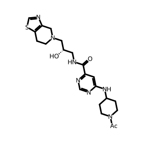 CC(=O)N1CCC(Nc2cc(C(=O)NC[C@H](O)CN3CCc4scnc4C3)ncn2)CC1